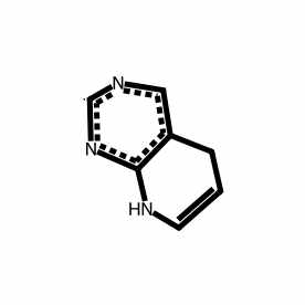 [c]1ncc2c(n1)NC=CC2